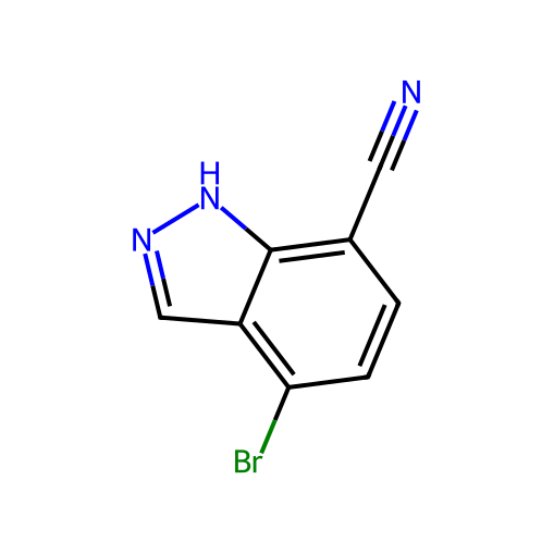 N#Cc1ccc(Br)c2cn[nH]c12